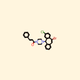 O=C(/C=C/c1ccccc1)N1CCN(C2c3ccccc3C=C(Br)c3ccc(Cl)cc32)CC1